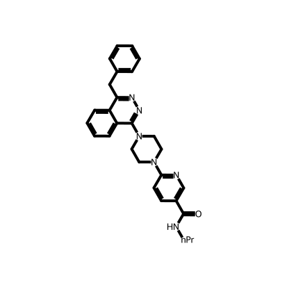 CCCNC(=O)c1ccc(N2CCN(c3nnc(Cc4ccccc4)c4ccccc34)CC2)nc1